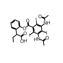 CCC(C(=O)O)c1ccccc1OC(=O)c1c(I)c(NC(C)=O)c(I)c(NC(C)=O)c1I